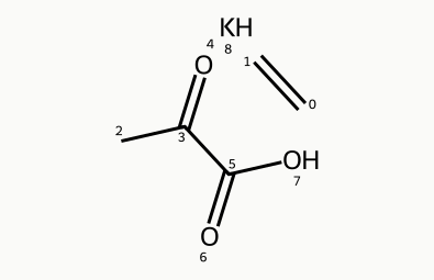 C=C.CC(=O)C(=O)O.[KH]